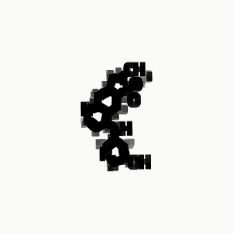 CC1=Cc2cc3nccc(Nc4cncc(O)c4)c3cc2S1(=O)=O